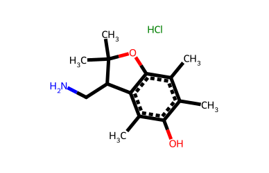 Cc1c(C)c2c(c(C)c1O)C(CN)C(C)(C)O2.Cl